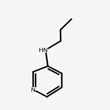 CCCNc1cc[c]nc1